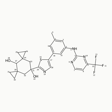 Cc1cc(Nc2nccc(C(F)(F)F)n2)cc(-c2cnc(C3(O)CC4(CC4)C(O)C4(CC4)C3)s2)c1